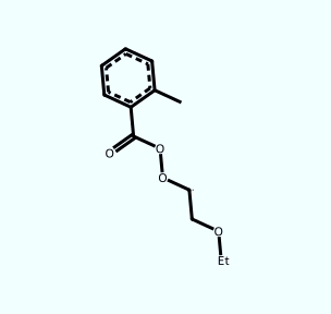 CCOC[CH]OOC(=O)c1ccccc1C